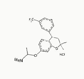 CNC(C)Oc1ccc2c(c1)OC(C)(C)CC2c1cccc(C(F)(F)F)c1.Cl